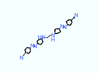 N#Cc1ccc(/N=N/c2ccc(NCCNc3ccc(/N=N/c4ccc(C#N)cc4)cc3)cc2)cc1